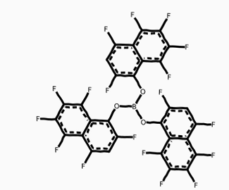 Fc1cc(F)c2c(F)c(F)c(F)c(F)c2c1OB(Oc1c(F)cc(F)c2c(F)c(F)c(F)c(F)c12)Oc1c(F)cc(F)c2c(F)c(F)c(F)c(F)c12